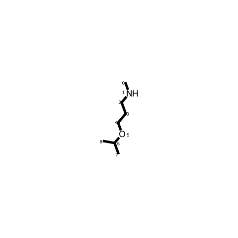 [CH2]NCCCOC(C)C